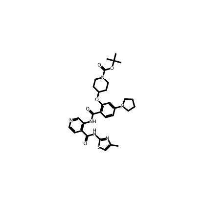 Cc1csc(NC(=O)c2ccncc2NC(=O)c2ccc(N3CCCC3)cc2OC2CCN(C(=O)OC(C)(C)C)CC2)n1